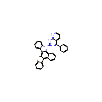 c1ccc(-c2nc(-n3c4ccccc4c4c5sc6ccccc6c5c5ccccc5c43)nc3ncccc23)cc1